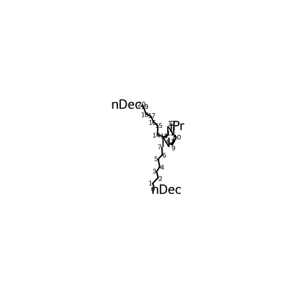 CCCCCCCCCCCCCCCCC[n+]1ccn(C(C)C)c1CCCCCCCCCCCCCCCC